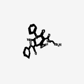 O=C(O)CNC(=O)c1c(O)c(C(=O)NC2CCCCC2)c(O)n(-c2ccccc2)c1=O